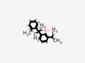 Bc1c(C(C)C)cccc1C(C)(C)c1ccccc1C